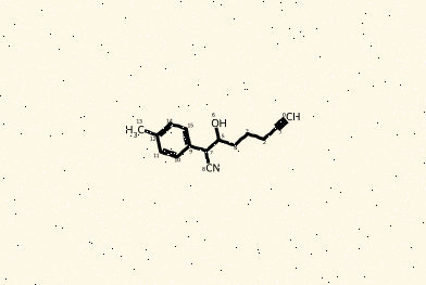 C#CCCCC(O)C(C#N)c1ccc(C)cc1